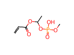 C=CC(=O)OC(C)OP(=O)(O)OC